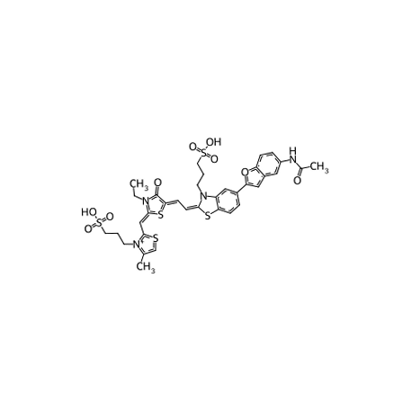 CCn1c(=Cc2scc(C)[n+]2CCCS(=O)(=O)O)sc(=CC=C2Sc3ccc(-c4cc5cc(NC(C)=O)ccc5o4)cc3N2CCCS(=O)(=O)O)c1=O